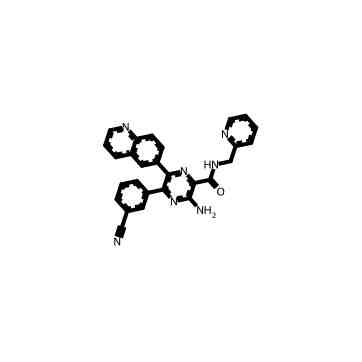 N#Cc1cccc(-c2nc(N)c(C(=O)NCc3ccccn3)nc2-c2ccc3ncccc3c2)c1